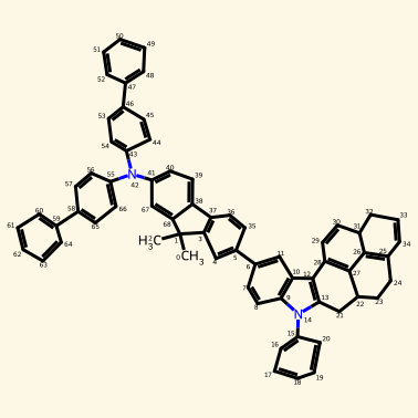 CC1(C)c2cc(-c3ccc4c(c3)c3c(n4-c4ccccc4)CC4CCC5=C6C4=C3C=CC6CC=C5)ccc2-c2ccc(N(c3ccc(-c4ccccc4)cc3)c3ccc(-c4ccccc4)cc3)cc21